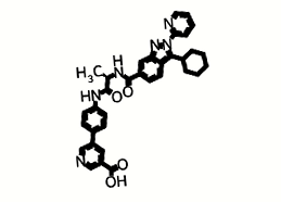 C[C@@H](NC(=O)c1ccc2c(C3CCCCC3)n(-c3ccccn3)nc2c1)C(=O)Nc1ccc(-c2cncc(C(=O)O)c2)cc1